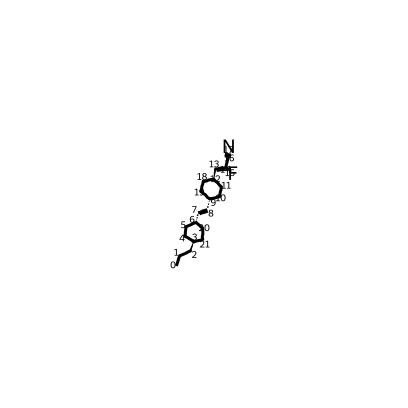 CCC[C@H]1CC[C@H](C=C[C@H]2CC[C@H](C=C(F)C#N)CC2)CC1